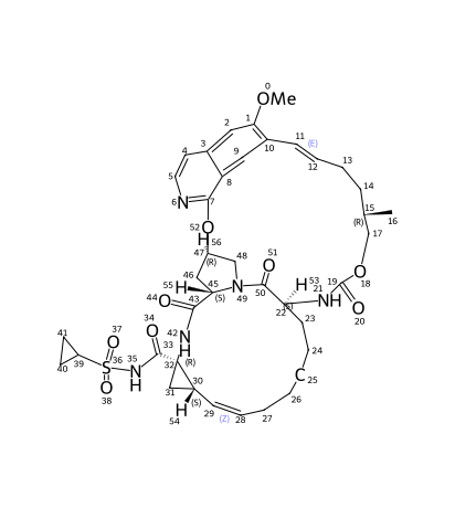 COc1cc2ccnc3c2cc1/C=C/CC[C@@H](C)COC(=O)N[C@H]1CCCCC/C=C\[C@@H]2C[C@@]2(C(=O)NS(=O)(=O)C2CC2)NC(=O)[C@@H]2C[C@H](CN2C1=O)O3